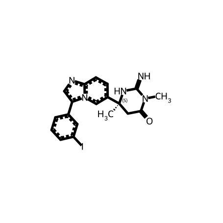 CN1C(=N)N[C@](C)(c2ccc3ncc(-c4cccc(I)c4)n3c2)CC1=O